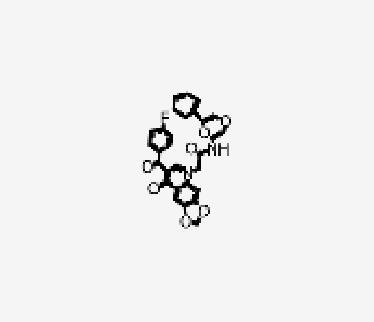 O=C(Cn1cc(C(=O)c2ccc(F)cc2)c(=O)c2cc3c(cc21)OCO3)NC1=COC=C(C2=CC=CCC2)O1